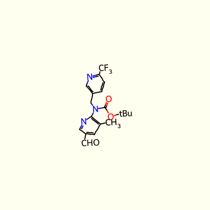 Cc1cc(C=O)cnc1N(Cc1ccc(C(F)(F)F)nc1)C(=O)OC(C)(C)C